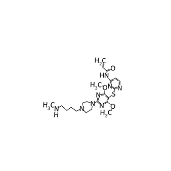 C=CC(=O)Nc1ccnc(Sc2c(OC)nc(N3CCN(CCCCNC)CC3)nc2OC)n1